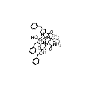 CC(C)(C)NC(=O)[C@@H]1C[C@H](Cc2ccccc2)CN1C[C@@H](O)[C@H](Cc1ccccc1)NC(=O)[C@H](CC(N)=O)NC(=O)OCc1ccccc1